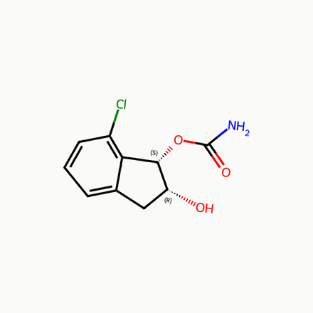 NC(=O)O[C@H]1c2c(Cl)cccc2C[C@H]1O